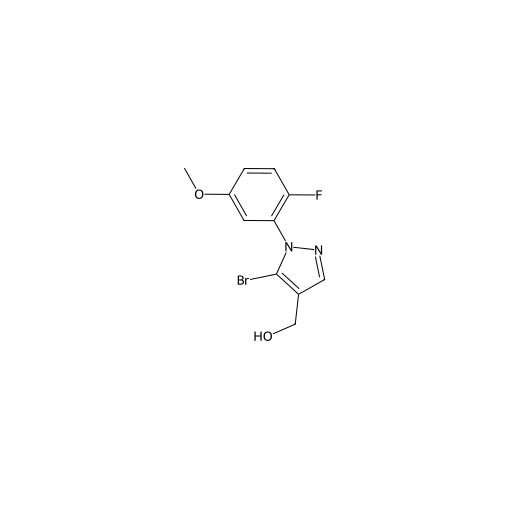 COc1ccc(F)c(-n2ncc(CO)c2Br)c1